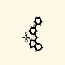 CS(=O)(=O)OC1CCc2cccnc2C1Cc1cccc(-c2ccccc2)c1